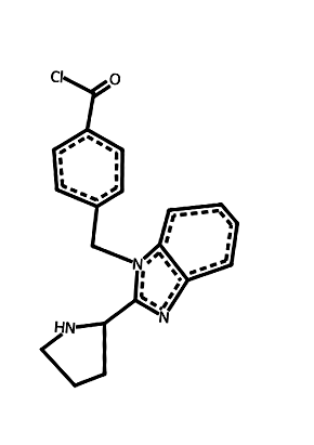 O=C(Cl)c1ccc(Cn2c(C3CCCN3)nc3ccccc32)cc1